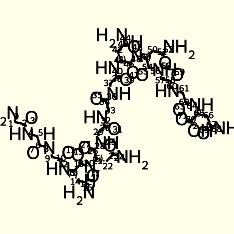 NCC(=O)NCC(=O)NCC(=O)N[C@@H](CC(N)=O)C(=O)N[C@@H](CC(N)=O)C(=O)NCC(=O)NCC(=O)NCC(=O)N[C@@H](CC(N)=O)C(=O)N[C@@H](CC(N)=O)C(=O)NCC(=O)NCC(=O)N[C@@H](CC(N)=O)C(=O)O